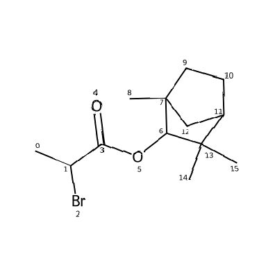 CC(Br)C(=O)OC1C2(C)CCC(C2)C1(C)C